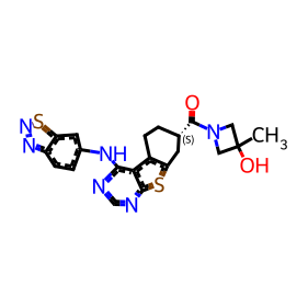 CC1(O)CN(C(=O)[C@H]2CCc3c(sc4ncnc(Nc5ccc6nnsc6c5)c34)C2)C1